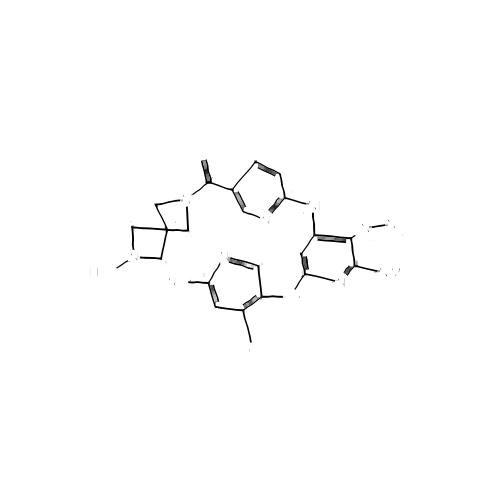 CNc1nc(Oc2cnc(C#N)cc2C)cc(Nc2ccc(C(=O)N3CC4(CN(C)C4)C3)cn2)c1NN